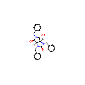 O=C1[C@@H]2[C@H]([C@@H](O)N1Cc1ccccc1)N(Cc1ccccc1)C(=O)N2Cc1ccccc1